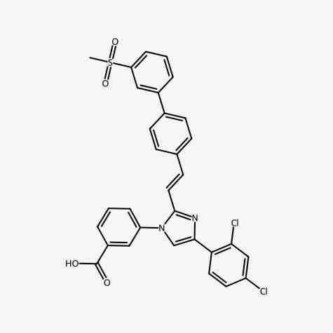 CS(=O)(=O)c1cccc(-c2ccc(C=Cc3nc(-c4ccc(Cl)cc4Cl)cn3-c3cccc(C(=O)O)c3)cc2)c1